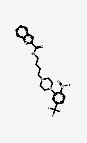 O=C(NCCCCN1CCN(c2cc(C(F)(F)F)ccc2[N+](=O)[O-])CC1)c1cc2ccccc2o1